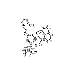 Cc1nccn1CCOc1nc2c(c([C@H]3C[C@H]4CC[C@@H](C3)N4)n1)CCN(c1cccc3cccc(Cl)c13)C2